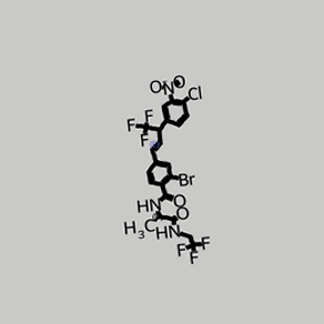 C[C@@H](NC(=O)c1ccc(/C=C/C(c2ccc(Cl)c([N+](=O)[O-])c2)C(F)(F)F)cc1Br)C(=O)NCC(F)(F)F